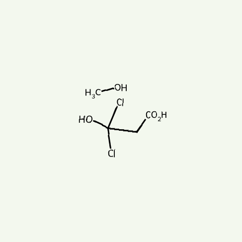 CO.O=C(O)CC(O)(Cl)Cl